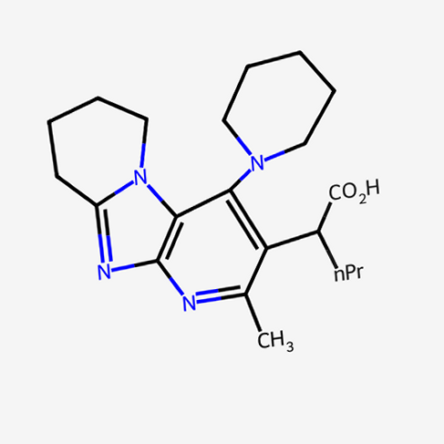 CCCC(C(=O)O)c1c(C)nc2nc3n(c2c1N1CCCCC1)CCCC3